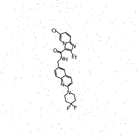 CCc1nc2ccc(Cl)cn2c1C(=O)NCc1ccc2nc(N3CCC(F)(F)CC3)ccc2c1